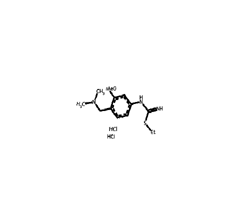 CCSC(=N)Nc1ccc(CN(C)C)c(OC)c1.Cl.Cl